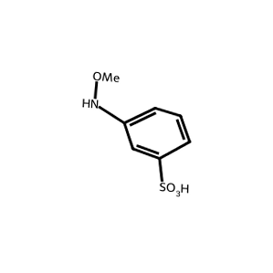 CONc1cccc(S(=O)(=O)O)c1